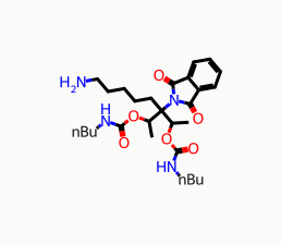 CCCCNC(=O)OC(C)C(CCCCCN)(C(C)OC(=O)NCCCC)N1C(=O)c2ccccc2C1=O